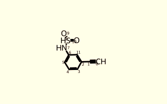 C#Cc1cccc(N[SH](=O)=O)c1